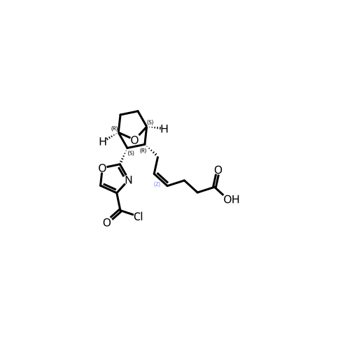 O=C(O)CC/C=C\C[C@@H]1[C@H](c2nc(C(=O)Cl)co2)[C@H]2CC[C@@H]1O2